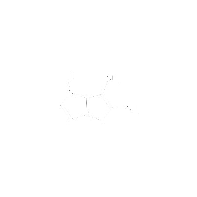 Nc1sc2ccn(O)c2c1N